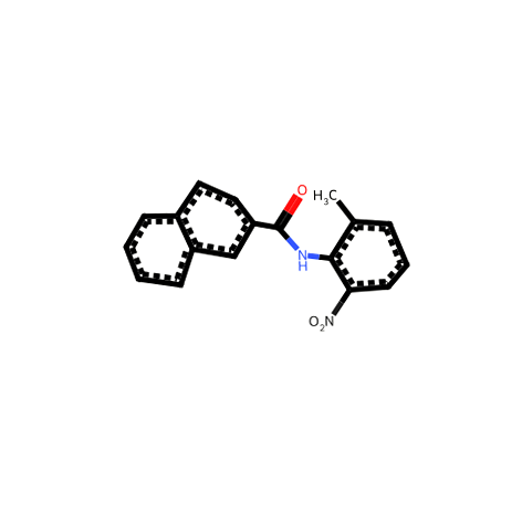 Cc1cccc([N+](=O)[O-])c1NC(=O)c1ccc2ccccc2c1